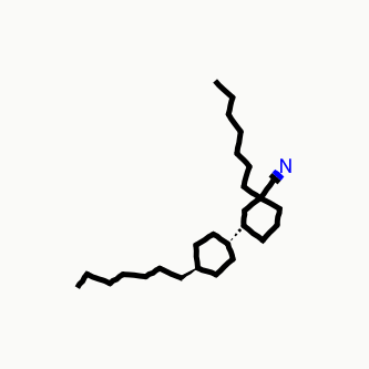 CCCCCCCC1(C#N)CCCC([C@H]2CC[C@H](CCCCCCC)CC2)C1